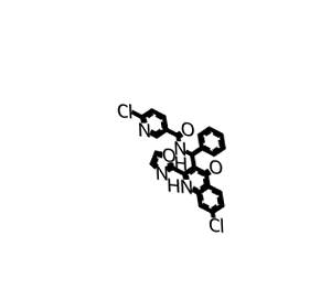 O=C(NC(c1ccccc1)c1c(-c2ncco2)[nH]c2cc(Cl)ccc2c1=O)c1ccc(Cl)nc1